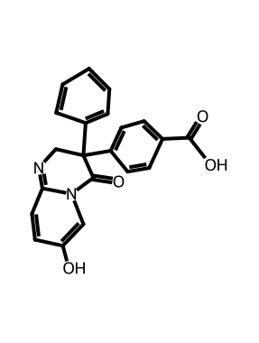 O=C(O)c1ccc(C2(c3ccccc3)CN=C3C=CC(O)=CN3C2=O)cc1